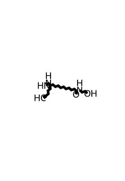 C#CCCCC1(CCCCCCCCCC(=O)NCCO)NN1